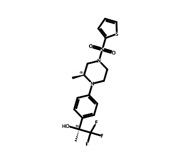 C[C@H]1CN(S(=O)(=O)c2cccs2)CCN1c1ccc([C@](C)(O)C(F)(F)F)cc1